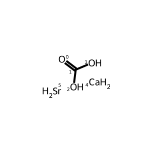 O=C(O)O.[CaH2].[SrH2]